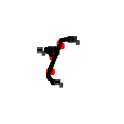 CCCCC/C=C\COC(=O)CCCCCCCCC(CCCCCCCCC(=O)OC/C=C\CCCCC)OC(=O)CCCN(C)C